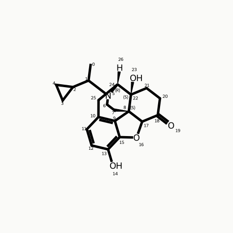 CC(C1CC1)N1CC[C@]23c4c5ccc(O)c4OC2C(=O)CC[C@@]3(O)[C@H]1C5